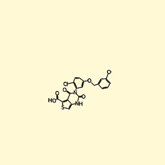 COc1cccc(COc2ccc(Cl)c(-n3c(=O)[nH]c4csc(C(=O)O)c4c3=O)c2)c1